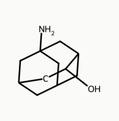 NC12CC3CC(CC(C1)C(O)C3)C2